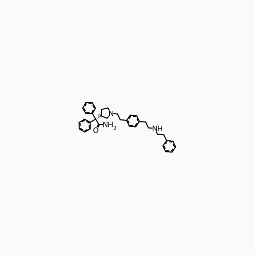 NC(=O)C(c1ccccc1)(c1ccccc1)[C@@H]1CCN(CCc2ccc(CCNCCc3ccccc3)cc2)C1